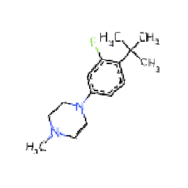 CN1CCN(c2ccc(C(C)(C)C)c(F)c2)CC1